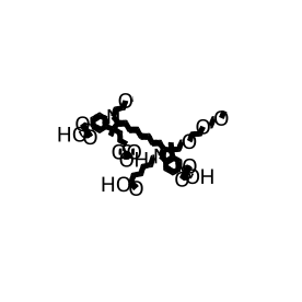 COCCOCCOCCC1(C)C(/C=C/C=C/C=C/C=C2/N(CCOC)c3ccc(S(=O)(=O)O)cc3C2(C)CCCS(=O)(=O)O)=[N+](CCCCCC(=O)O)c2ccc(S(=O)(=O)O)cc21